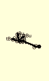 CC(C)(C)OC(=O)CCO[C@H]1[C@H](OCCC(=O)OC(C)(C)C)[C@@H](COC(=O)NCCCCCCCCCC(=O)OCc2ccccc2)OC[C@@H]1OCCC(=O)OC(C)(C)C